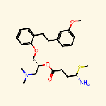 COc1cccc(CCc2ccccc2OC[C@@H](CN(C)C)OC(=O)CC[C@@H](N)SC)c1